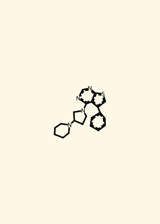 c1ccc(-c2csc3ncnc(N4CCC(N5CCCCC5)C4)c23)cc1